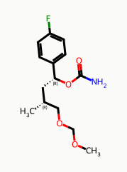 COCOC[C@H](C)C[C@@H](OC(N)=O)c1ccc(F)cc1